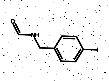 O=CNCc1ccc(I)cc1